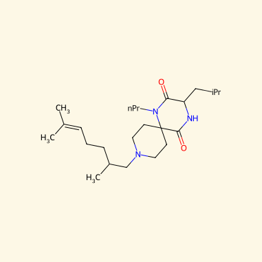 CCCN1C(=O)C(CC(C)C)NC(=O)C12CCN(CC(C)CCC=C(C)C)CC2